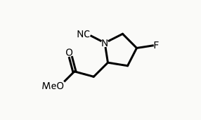 COC(=O)CC1CC(F)CN1C#N